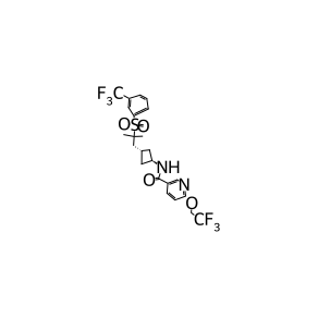 CC(C)(C[C@H]1C[C@H](NC(=O)c2ccc(OCC(F)(F)F)nc2)C1)S(=O)(=O)c1cccc(C(F)(F)F)c1